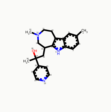 Cc1ccc2[nH]c3c(c2c1)CCN(C)CC3CC(C)(O)c1ccncc1